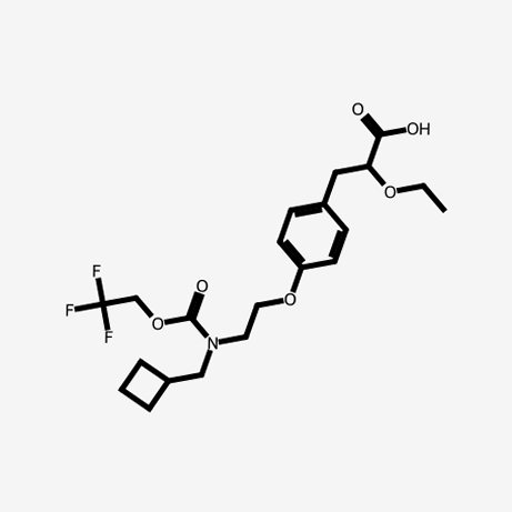 CCOC(Cc1ccc(OCCN(CC2CCC2)C(=O)OCC(F)(F)F)cc1)C(=O)O